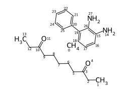 C.CCC(=O)CCCCCC(=O)CC.Nc1cccc(-c2ccccc2)c1N